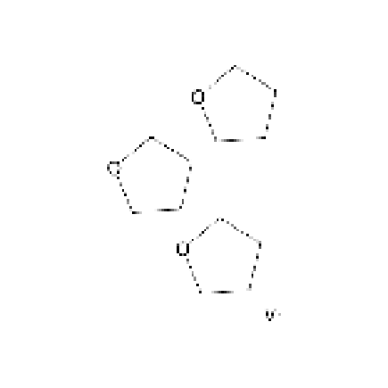 C1CCOC1.C1CCOC1.C1CCOC1.[V]